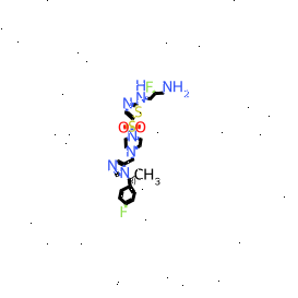 C[C@H](c1ccc(F)cc1)n1cncc1CN1CCN(S(=O)(=O)c2cnc(NCC(F)CN)s2)CC1